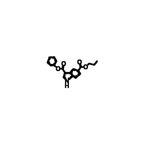 CCCOC(=O)c1ccc2[nH]cc(C(=O)Oc3ccccc3)c2c1